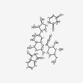 [N-]=[N+]=NC1C(O)[C@H](O)C(CO)O[C@@H]1OC1O[C@H](C[C@@H](O)C2O[C@@H](n3ccc(=O)[nH]c3=O)[C@H](O)[C@@H]2O)C(O)C(O)[C@H]1N1C(=O)c2ccccc2C1=O